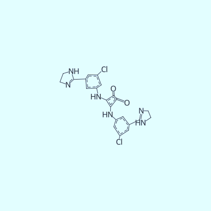 O=c1c(Nc2cc(Cl)cc(C3=NCCN3)c2)c(Nc2cc(Cl)cc(C3=NCCN3)c2)c1=O